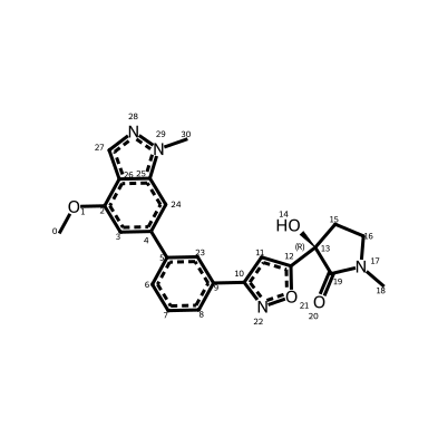 COc1cc(-c2cccc(-c3cc([C@]4(O)CCN(C)C4=O)on3)c2)cc2c1cnn2C